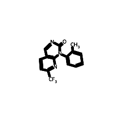 Cc1ccccc1-n1c(=O)ncc2ccc(C(F)(F)F)nc21